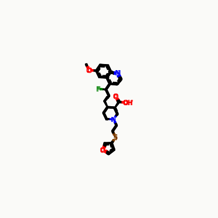 COc1ccc2nccc([C@H](F)CC[C@@H]3CCN(CCSc4ccoc4)C[C@@H]3C(=O)O)c2c1